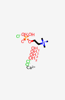 C[N+](C)(C)CCOP(=O)(O)O.O.O.O.O.[Ca+2].[Cl-].[Cl-].[Cl-]